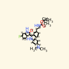 CN(C)Cc1ccc(NC(=C2C(=O)Nc3cc(F)ccc32)c2cccc(CCNC(=O)OC(C)(C)C)c2)cc1